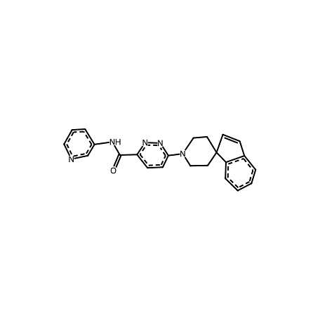 O=C(Nc1cccnc1)c1ccc(N2CCC3(C=Cc4ccccc43)CC2)nn1